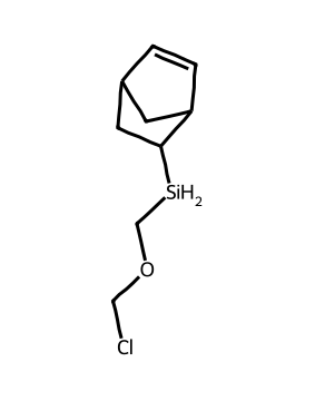 ClCOC[SiH2]C1CC2C=CC1C2